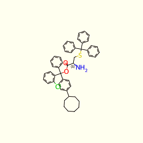 N[C@H](CSC(c1ccccc1)(c1ccccc1)c1ccccc1)C(=O)OC(c1ccccc1)(c1ccc(C2CCCCCCC2)cc1)c1ccccc1Cl